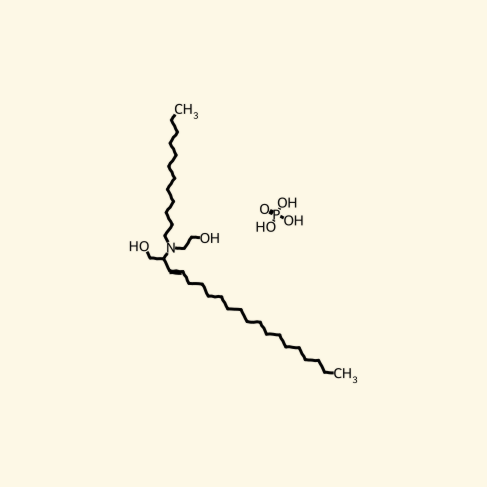 CCCCCCCCCCCCCCCCC=CC(CO)N(CCO)CCCCCCCCCCCC.O=P(O)(O)O